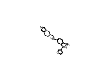 c1cc(-c2n[nH]c3ccc(NCC4CCc5cncn5C4)cc23)co1